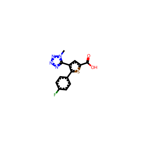 Cn1nnnc1-c1cc(C(=O)O)sc1-c1ccc(F)cc1